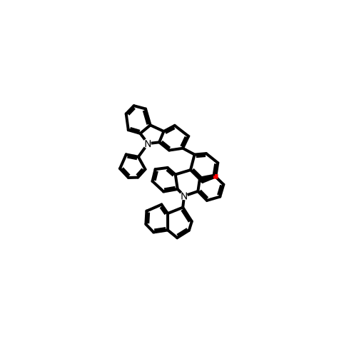 c1ccc(N(c2ccccc2-c2ccccc2-c2ccc3c4ccccc4n(-c4ccccc4)c3c2)c2cccc3ccccc23)cc1